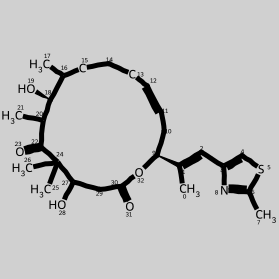 C/C(=C\c1csc(C)n1)[C@@H]1C/C=C\CCCC(C)[C@H](O)C(C)C(=O)C(C)(C)C(O)CC(=O)O1